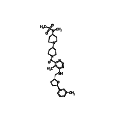 Cc1cccc([C@H]2CC[C@H](CNc3ncnc(C(=O)N4CCC(N5CCC(N(C)S(C)(=O)=O)CC5)CC4)c3C)O2)c1